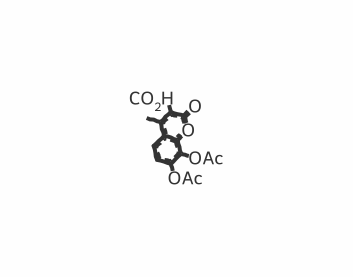 CC(=O)Oc1ccc2c(C)c(C(=O)O)c(=O)oc2c1OC(C)=O